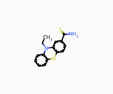 CCN1c2ccccc2Sc2ccc(C(N)=S)cc21